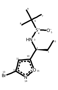 CC[C@H](N[S+]([O-])C(C)(C)C)c1cc(Br)no1